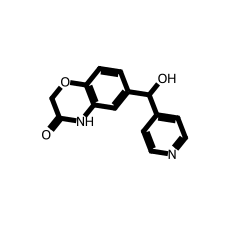 O=C1COc2ccc(C(O)c3ccncc3)cc2N1